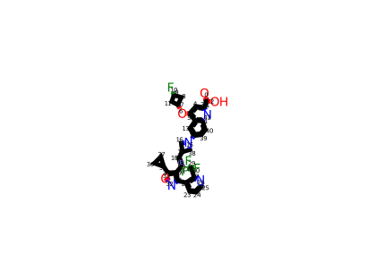 O=C(O)c1cc(OC2CC(F)C2)c2cc(N3CC(/C=C/c4c(-c5cccnc5C(F)(F)F)noc4C4CC4)C3)ccc2n1